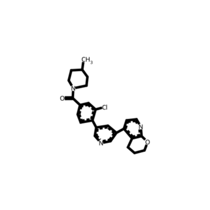 CC1CCN(C(=O)c2ccc(-c3cncc(-c4ccnc5c4CCCO5)c3)c(Cl)c2)CC1